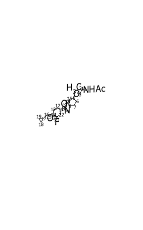 CC(=O)NC(C)COC1CCc2nc(-c3ccc(OCC4CC4)c(F)c3)oc2C1